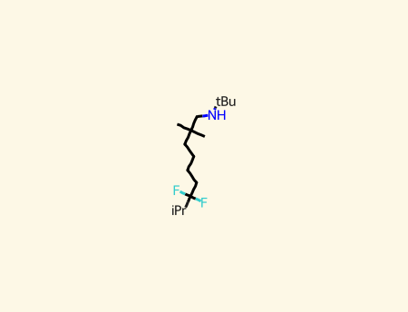 CC(C)C(F)(F)CCCCC(C)(C)CNC(C)(C)C